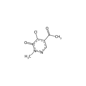 CC(=O)c1cnn(C)c(=O)c1Cl